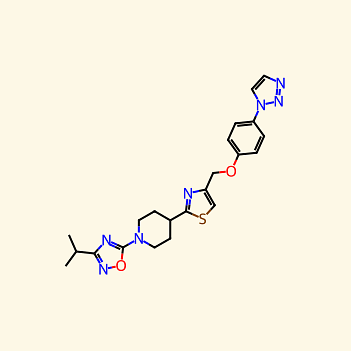 CC(C)c1noc(N2CCC(c3nc(COc4ccc(-n5ccnn5)cc4)cs3)CC2)n1